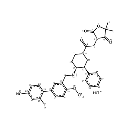 CC1(C)OC(=O)N(CC(=O)N2CC[C@H](NCc3cc(-c4ccc(C#N)cc4F)ccc3OC(F)(F)F)[C@H](c3ccccc3)C2)C1=O.Cl